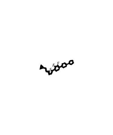 Fc1c(-c2ccc(C3CCCC3)cc2)ccc(-c2ccc(CCC3CC3)s2)c1F